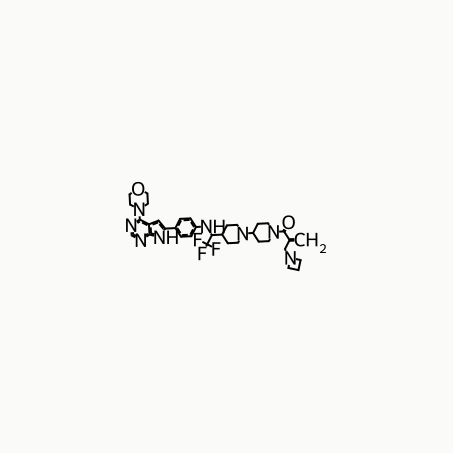 C=C(CN1CCC1)C(=O)N1CCC(N2CCC(C(Nc3ccc(-c4cc5c(N6CCOCC6)ncnc5[nH]4)cc3)C(F)(F)F)CC2)CC1